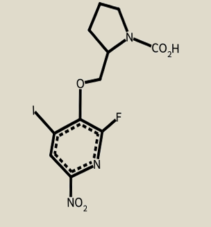 O=C(O)N1CCCC1COc1c(I)cc([N+](=O)[O-])nc1F